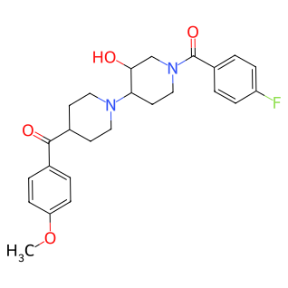 COc1ccc(C(=O)C2CCN(C3CCN(C(=O)c4ccc(F)cc4)CC3O)CC2)cc1